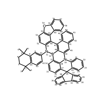 CC1(C)CCC(C)(C)c2cc(N3B4c5cccc6c5N(c5ccccc5C65c6ccccc6-c6ccccc65)c5cc6ccccc6c(c54)-c4c3ccc3oc5ccccc5c43)ccc21